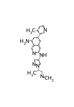 C=NCC(C)n1cc(Nc2cc3cc(-c4cnccc4C)cc(N)c3cn2)cn1